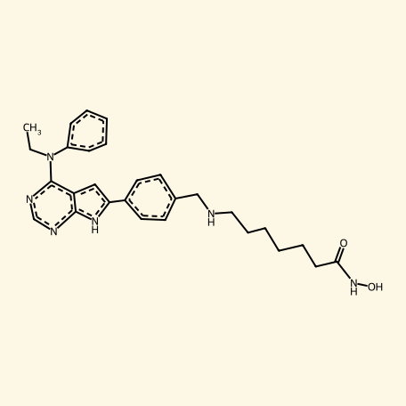 CCN(c1ccccc1)c1ncnc2[nH]c(-c3ccc(CNCCCCCCC(=O)NO)cc3)cc12